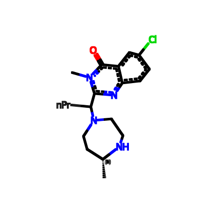 CCCC(c1nc2ccc(Cl)cc2c(=O)n1C)N1CCN[C@H](C)CC1